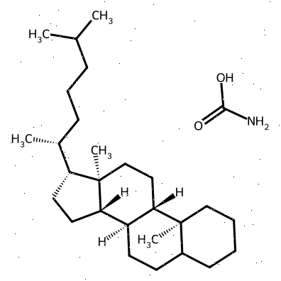 CC(C)CCC[C@@H](C)[C@H]1CC[C@H]2[C@@H]3CCC4CCCC[C@]4(C)[C@H]3CC[C@]12C.NC(=O)O